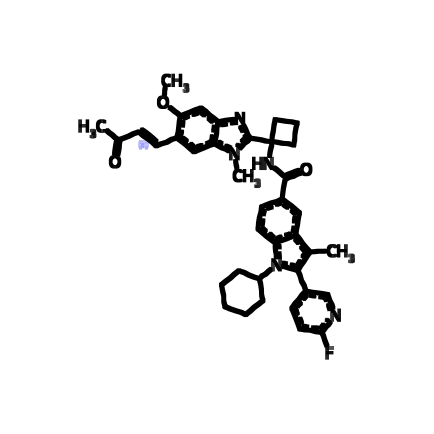 COc1cc2nc(C3(NC(=O)c4ccc5c(c4)c(C)c(-c4ccc(F)nc4)n5C4CCCCC4)CCC3)n(C)c2cc1/C=C/C(C)=O